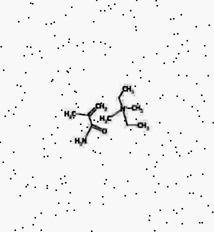 C=C(C)C(N)=O.CC[N+](C)(C)CC